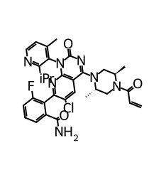 C=CC(=O)N1C[C@H](C)N(c2nc(=O)n(-c3c(C)ccnc3C(C)C)c3nc(-c4c(F)cccc4C(N)=O)c(Cl)cc23)C[C@H]1C